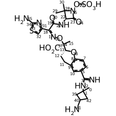 CC1(NC(=N)c2ccc3c(c2)CC[C@H]([C@](C)(O/N=C(\C(=O)N[C@@H]2C(=O)N(OS(=O)(=O)O)C2(C)C)c2csc(N)n2)C(=O)O)O3)CC(N)C1